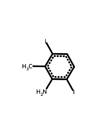 Cc1c(I)ccc(I)c1N